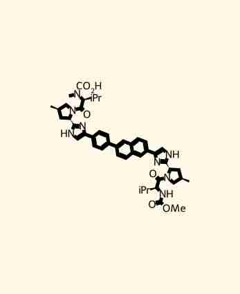 COC(=O)N[C@H](C(=O)N1C[C@H](C)C[C@H]1c1nc(-c2ccc3cc(-c4ccc(-c5c[nH]c([C@@H]6C[C@@H](C)CN6C(=O)[C@H](C(C)C)N(C)C(=O)O)n5)cc4)ccc3c2)c[nH]1)C(C)C